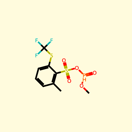 CO[PH](=O)OS(=O)(=O)c1c(C)cccc1SC(F)(F)F